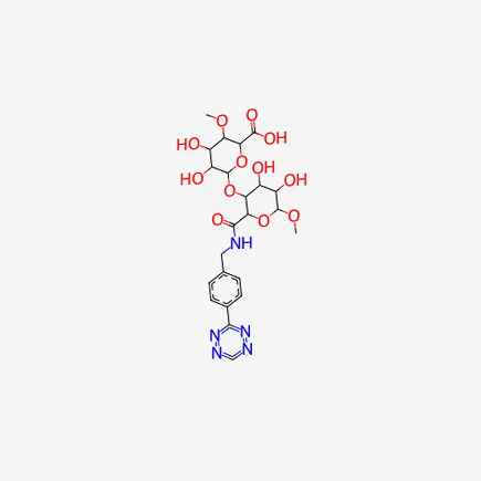 COC1OC(C(=O)NCc2ccc(-c3nncnn3)cc2)C(OC2OC(C(=O)O)C(OC)C(O)C2O)C(O)C1O